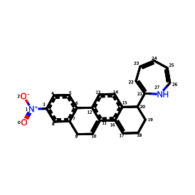 O=[N+]([O-])c1ccc2c(c1)CC=c1c-2ccc2c1=CCCC2C1=CC=CC=CN1